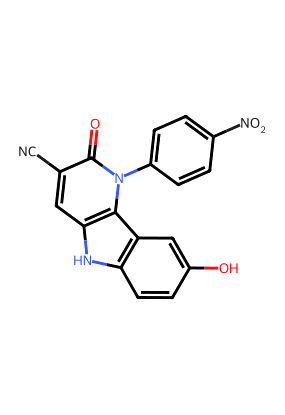 N#Cc1cc2[nH]c3ccc(O)cc3c2n(-c2ccc([N+](=O)[O-])cc2)c1=O